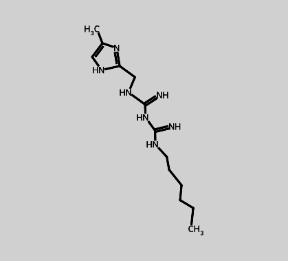 CCCCCCNC(=N)NC(=N)NCc1nc(C)c[nH]1